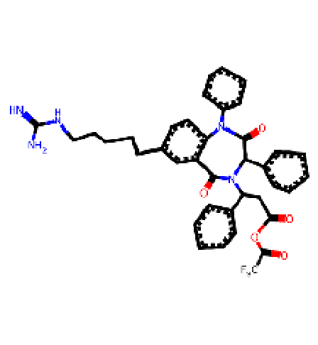 N=C(N)NCCCCCc1ccc2c(c1)C(=O)N(C(CC(=O)OC(=O)C(F)(F)F)c1ccccc1)C(c1ccccc1)C(=O)N2c1ccccc1